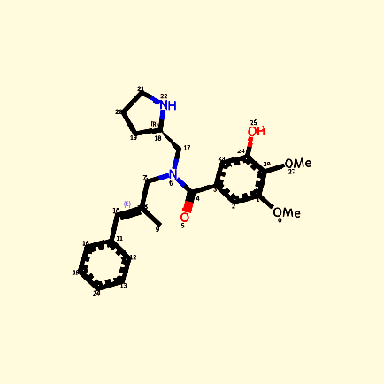 COc1cc(C(=O)N(C/C(C)=C/c2ccccc2)C[C@H]2CCCN2)cc(O)c1OC